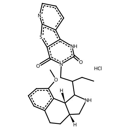 CCC(Cn1c(=O)[nH]c2c(sc3ncccc32)c1=O)C1NC[C@@H]2CCc3cccc(OC)c3[C@H]12.Cl